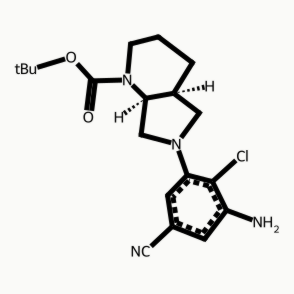 CC(C)(C)OC(=O)N1CCC[C@H]2CN(c3cc(C#N)cc(N)c3Cl)C[C@H]21